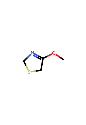 COC1=N[CH]SC1